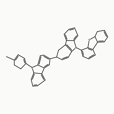 CC1=CC=C(n2c3ccccc3c3cc(C4C=Cc5c(c6ccccc6n5-c5cccc6c5SC5CC=CC=C65)C4)ccc32)CC1